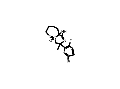 CC1(c2nc(Br)ccc2F)CS2(=O)=NCCCCC23NC3=N1